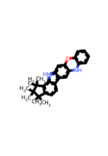 CC1(C)c2ccc3c([nH]c4cc5c(cc43)Nc3ccccc3O5)c2C(C)(C)C1(C)C